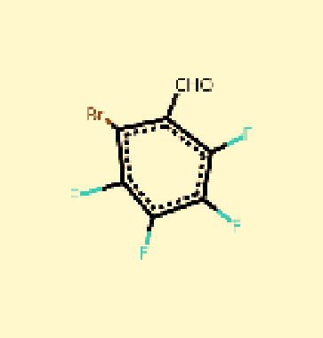 O=Cc1c(F)c(F)c(F)c(F)c1Br